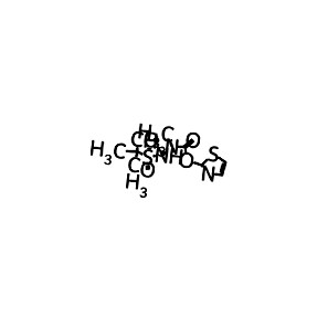 CN(NS(=O)(=O)C(C)(C)C)C(=O)Oc1nccs1